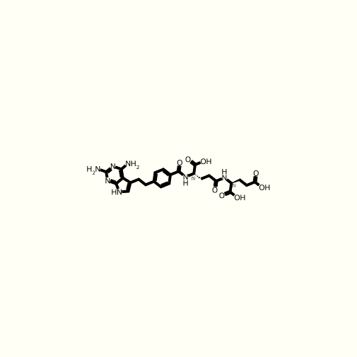 Nc1nc(N)c2c(CCc3ccc(C(=O)N[C@@H](CCC(=O)N[C@@H](CCC(=O)O)C(=O)O)C(=O)O)cc3)c[nH]c2n1